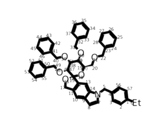 CCc1ccc(Cn2ccc3cc4c(cc32)[C@]2(OC4)O[C@H](COCc3ccccc3)[C@H](OCc3ccccc3)[C@H](OCc3ccccc3)[C@H]2OCc2ccccc2)cc1